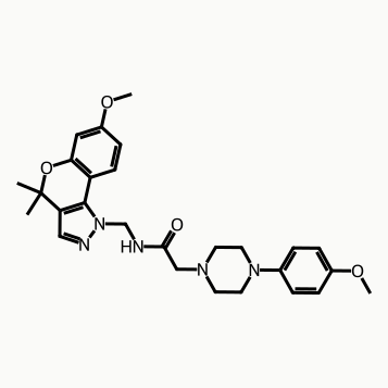 COc1ccc(N2CCN(CC(=O)NCn3ncc4c3-c3ccc(OC)cc3OC4(C)C)CC2)cc1